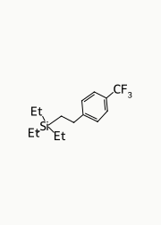 CC[Si](CC)(CC)CCc1ccc(C(F)(F)F)cc1